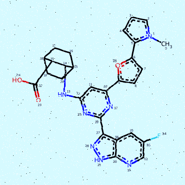 Cn1cccc1-c1ccc(-c2cc(NC3C4CCC(CC4)C3C(=O)O)nc(-c3n[nH]c4ncc(F)cc34)n2)o1